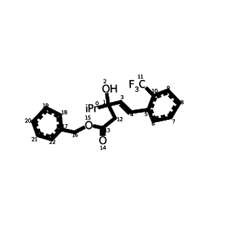 CC(C)C(O)(C=Cc1ccccc1C(F)(F)F)CC(=O)OCc1ccccc1